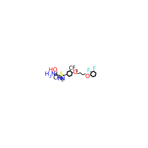 C[C@](N)(CO)c1nnc(-c2ccc(OCCCCOc3cccc(F)c3F)c(C(F)(F)F)c2)s1